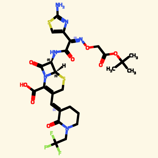 CC(C)(C)OC(=O)CO/N=C(\C(=O)N[C@@H]1C(=O)N2C(C(=O)O)=C(/C=C3\CCCN(CC(F)(F)F)C3=O)CS[C@H]12)c1csc(N)n1